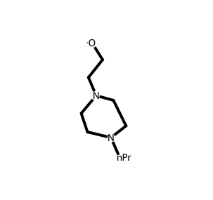 CCCN1CCN(CC[O])CC1